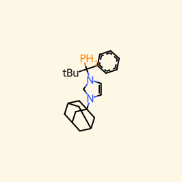 CC(C)(C)C(P)(c1ccccc1)N1C=CN(C23CC4CC(CC(C4)C2)C3)C1